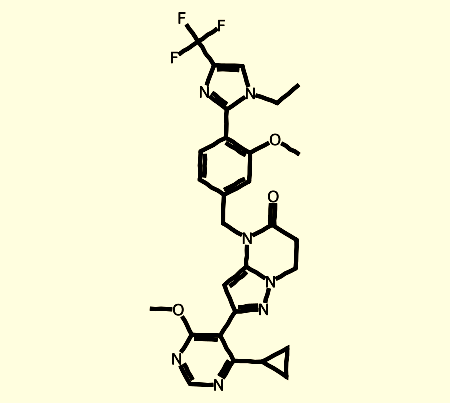 CCn1cc(C(F)(F)F)nc1-c1ccc(CN2C(=O)CCn3nc(-c4c(OC)ncnc4C4CC4)cc32)cc1OC